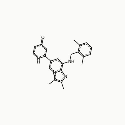 Cc1cccc(C)c1CNc1cc(-c2cc(=O)cc[nH]2)cn2c(C)c(C)nc12